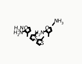 CC.Cc1cccs1.Cc1cccs1.Cc1ccoc1N.Cc1ccoc1N.N.N